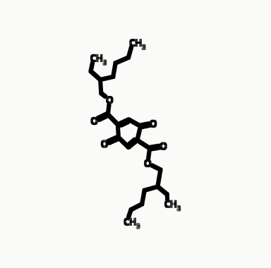 CCCCC(CC)COC(=O)C1=CC(=O)C(C(=O)OCC(CC)CCCC)=CC1=O